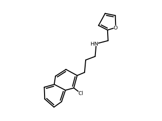 Clc1c(CCCNCc2ccco2)ccc2ccccc12